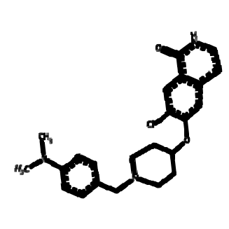 CN(C)c1ccc(CN2CCC(Oc3cc4cc[nH]c(=O)c4cc3Cl)CC2)cc1